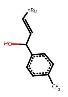 CCCC/C=C/C(O)c1ccc(C(F)(F)F)cc1